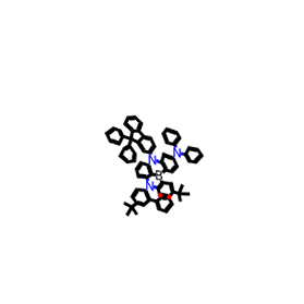 CC(C)(C)c1ccc2c(c1)B1c3ccc(N(c4ccccc4)c4ccccc4)cc3N(c3ccc4c(c3)C(c3ccccc3)(c3ccccc3)c3ccccc3-4)c3cccc(c31)N2c1ccc(C(C)(C)C)cc1-c1ccccc1